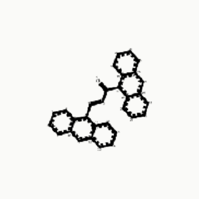 O=C(/C=C/c1c2ccccc2cc2ccccc12)c1c2ccccc2cc2ccccc12